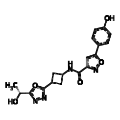 C[C@@H](O)c1nnc(C2CC(NC(=O)c3cc(-c4ccc(O)cc4)on3)C2)o1